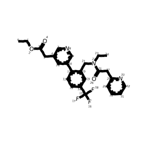 CCOC(=O)Cc1cncc(-c2ccc(C(F)(F)F)cc2CN(CC)C(=O)Cc2ccccn2)c1